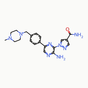 CN1CCN(Cc2ccc(-c3cnc(N)c(-n4cc(C(N)=O)cn4)n3)cc2)CC1